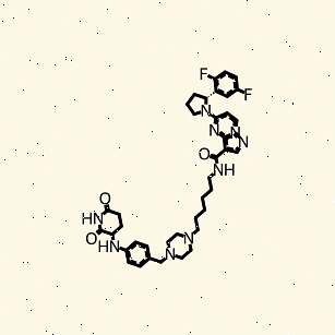 O=C1CCC(Nc2ccc(CN3CCN(CCCCCCNC(=O)c4cnn5ccc(N6CCC[C@@H]6c6cc(F)ccc6F)nc45)CC3)cc2)C(=O)N1